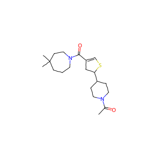 CC(=O)N1CCC(C2CC(C(=O)N3CCCC(C)(C)CC3)=CS2)CC1